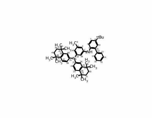 Cc1cc(Nc2ccc(C(C)(C)C)cc2-c2ccccc2)cc(N(c2ccc3c(c2)C(C)(C)CCC3(C)C)c2ccc3c(c2)C(C)(C)CCC3(C)C)c1